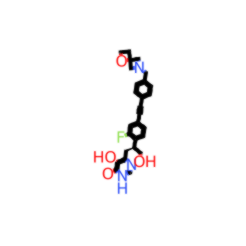 O=c1[nH]cnc(C[C@H](CO)c2ccc(C#Cc3ccc(CN4CC5(CCO5)C4)cc3)cc2F)c1O